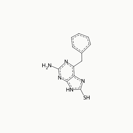 Nc1nc(Cc2ccccc2)c2nc(S)[nH]c2n1